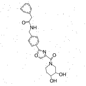 O=C(Cc1ccccc1)NCc1ccc(-c2nc(C(=O)N3CCC(O)C(O)C3)co2)cc1